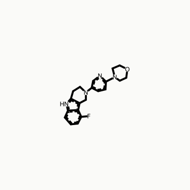 Fc1cccc2[nH]c3c(c12)CN(c1ccc(N2CCOCC2)nc1)CC3